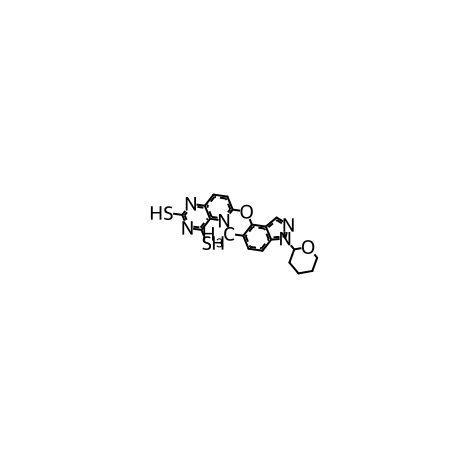 Cc1ccc2c(cnn2C2CCCCO2)c1Oc1ccc2nc(S)nc(S)c2n1